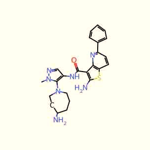 Cn1ncc(NC(=O)c2c(N)sc3ccc(-c4ccccc4)nc23)c1N1CCC[C@@H](N)CC1